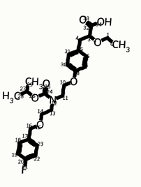 CCOC(Cc1ccc(OCCN(CCOCc2ccc(F)cc2)C(=O)OC(C)C)cc1)C(=O)O